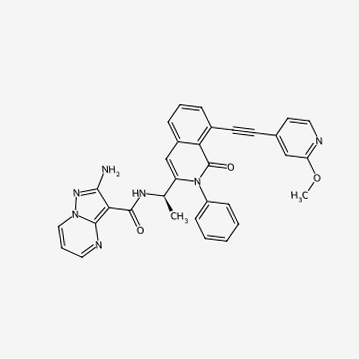 COc1cc(C#Cc2cccc3cc([C@@H](C)NC(=O)c4c(N)nn5cccnc45)n(-c4ccccc4)c(=O)c23)ccn1